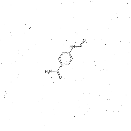 NC(=O)c1ccc(N[C]=O)cc1